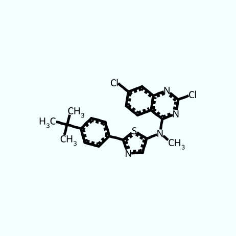 CN(c1cnc(-c2ccc(C(C)(C)C)cc2)s1)c1nc(Cl)nc2cc(Cl)ccc12